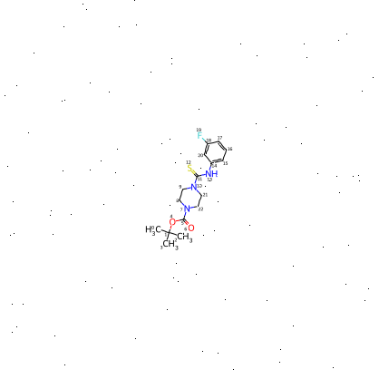 CC(C)(C)OC(=O)N1CCN(C(=S)Nc2cccc(F)c2)CC1